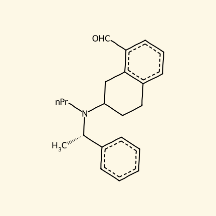 CCCN(C1CCc2cccc(C=O)c2C1)[C@@H](C)c1ccccc1